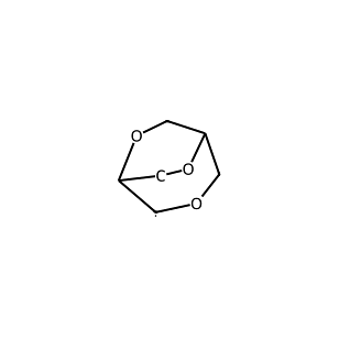 [CH]1OCC2COC1CO2